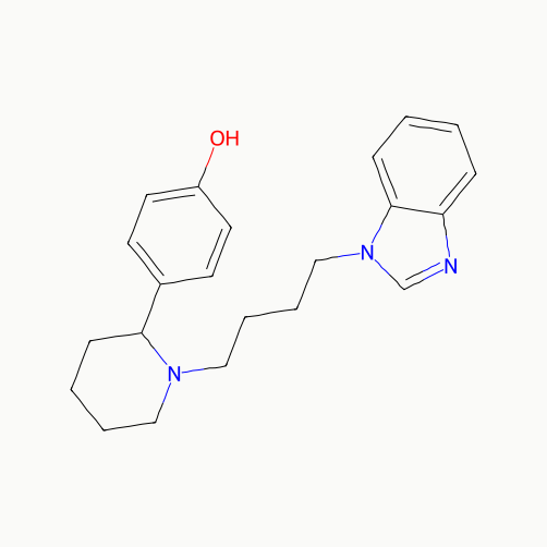 Oc1ccc(C2CCCCN2CCCCn2cnc3ccccc32)cc1